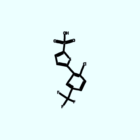 O=S(=O)(O)c1ccc(-c2cc(C(F)(F)F)ccc2Cl)s1